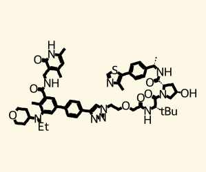 CCN(c1cc(-c2ccc(-c3cn(CCOCC(=O)N[C@H](C(=O)N4C[C@H](O)C[C@H]4C(=O)N[C@@H](C)c4ccc(-c5scnc5C)cc4)C(C)(C)C)nn3)cc2)cc(C(=O)NCc2c(C)cc(C)[nH]c2=O)c1C)C1CCOCC1